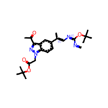 C=N/C(=N\C=C(/C)c1ccc2c(c1)c(C(C)=O)nn2CC(=O)OC(C)(C)C)OC(C)(C)C